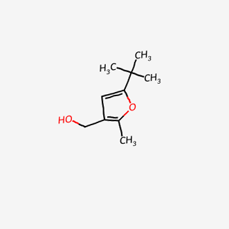 Cc1oc(C(C)(C)C)cc1CO